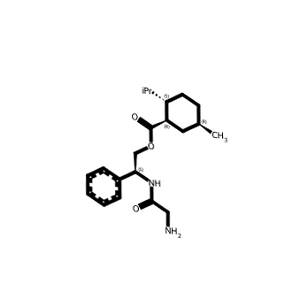 CC(C)[C@@H]1CC[C@@H](C)C[C@H]1C(=O)OC[C@@H](NC(=O)CN)c1ccccc1